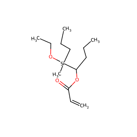 C=CC(=O)OC(CCC)[Si](C)(CCC)OCC